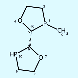 CP1CCO[C@H]1C1OCCP1